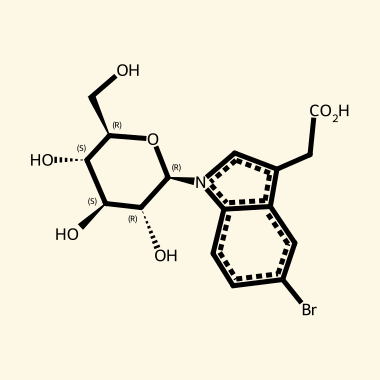 O=C(O)Cc1cn([C@@H]2O[C@H](CO)[C@@H](O)[C@H](O)[C@H]2O)c2ccc(Br)cc12